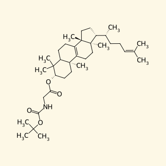 CC(C)=CCC[C@@H](C)[C@H]1CC[C@@]2(C)C3=C(CC[C@]12C)[C@@]1(C)CC[C@H](OC(=O)CNC(=O)OC(C)(C)C)C(C)(C)C1CC3